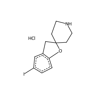 Cl.Ic1ccc2c(c1)CC1(CCNCC1)O2